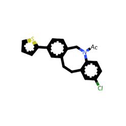 CC(=O)N1Cc2ccc(-c3cccs3)cc2CCc2cc(Cl)ccc21